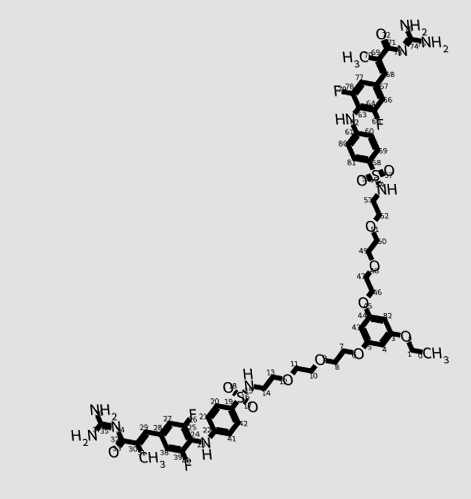 CCOc1cc(OCCOCCOCCNS(=O)(=O)c2ccc(Nc3c(F)cc(/C=C(\C)C(=O)N=C(N)N)cc3F)cc2)cc(OCCOCCOCCNS(=O)(=O)c2ccc(Nc3c(F)cc(/C=C(\C)C(=O)N=C(N)N)cc3F)cc2)c1